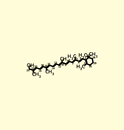 CC1=C(/C=C/C(C)=C/C=C/C(C)=C/C=C/C=C(C)/C=C/C=C(\C)CO)C(C)(C)CCC1